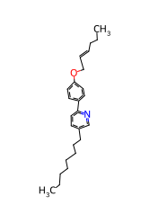 CCC/C=C/COc1ccc(-c2ccc(CCCCCCCC)cn2)cc1